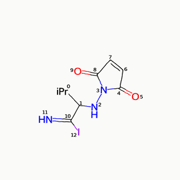 CC(C)C(NN1C(=O)C=CC1=O)C(=N)I